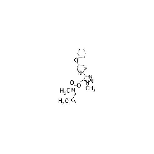 C[C@H]1C[C@@H]1CN(C)C(=O)OCc1c(-c2ccc(OC3CCCCC3)cn2)nnn1C